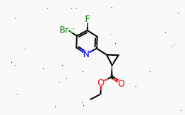 CCOC(=O)[C@@H]1CC1c1cc(F)c(Br)cn1